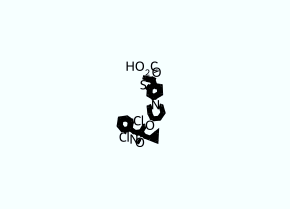 O=C(O)Oc1csc2cc(N3CCCC(OCc4c(-c5c(Cl)cccc5Cl)noc4C4CC4)CC3)ccc12